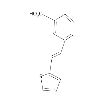 O=C(O)c1cccc(C=Cc2cccs2)c1